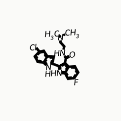 CN(C)CCNC(=O)c1c(-c2cc3cc(Cl)ccc3[nH]2)[nH]c2cc(F)ccc12